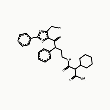 CC(C)Cc1nc(-c2ccncc2)oc1C(=O)C(CCNC(=O)C(C(N)=O)C1CCCCC1)c1ccccc1